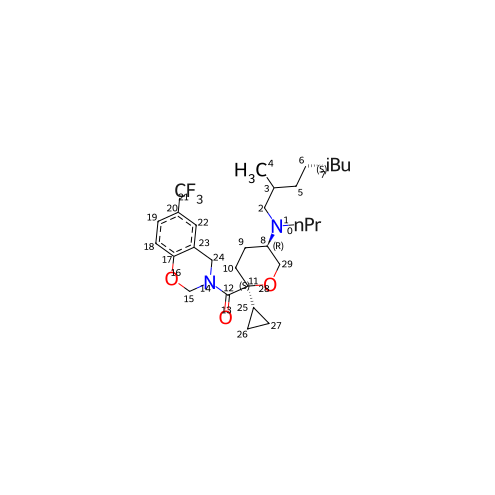 CCCN(CC(C)CC[C@@H](C)CC)[C@@H]1CC[C@@](C(=O)N2COc3ccc(C(F)(F)F)cc3C2)(C2CC2)OC1